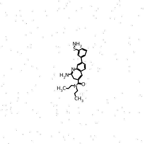 CCCN(CCC)C(=O)C1=Cc2ccc(-c3cccc(SN)c3)cc2N=C(N)C1